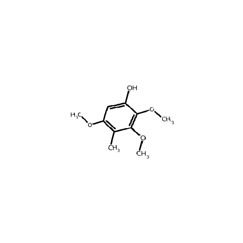 COc1cc(O)c(OC)c(OC)c1C